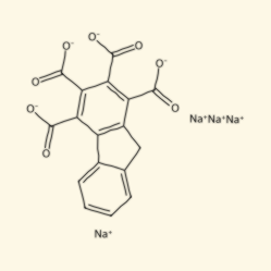 O=C([O-])c1c2c(c(C(=O)[O-])c(C(=O)[O-])c1C(=O)[O-])-c1ccccc1C2.[Na+].[Na+].[Na+].[Na+]